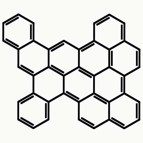 c1ccc2c(c1)cc1c3ccccc3c3c4ccc5cccc6c7ccc8cccc9c%10cc2c1c3c%10c(c7c89)c4c56